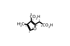 Cc1coc(CC(=O)O)c1C(=O)O